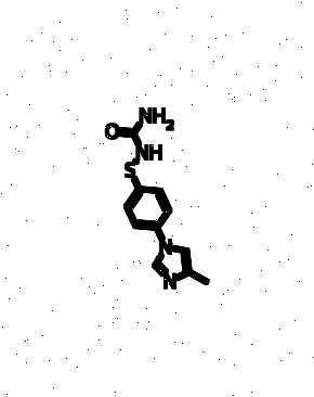 Cc1cn(-c2ccc(SNC(N)=O)cc2)cn1